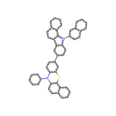 c1ccc(N2c3ccc(-c4ccc5c(c4)c4ccc6ccccc6c4n5-c4ccc5ccccc5c4)cc3Sc3c2ccc2ccccc32)cc1